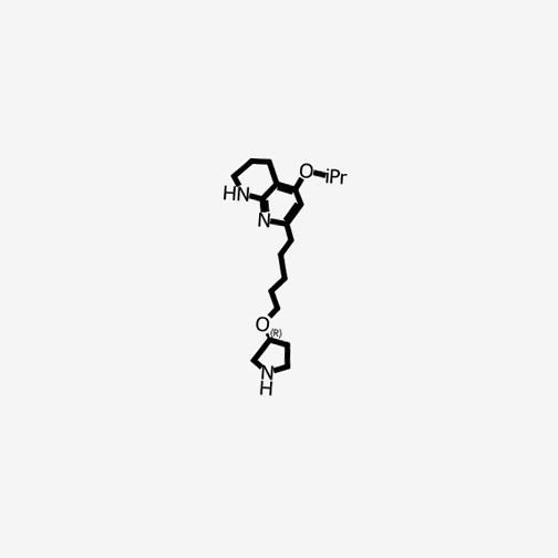 CC(C)Oc1cc(CCCCCO[C@@H]2CCNC2)nc2c1CCCN2